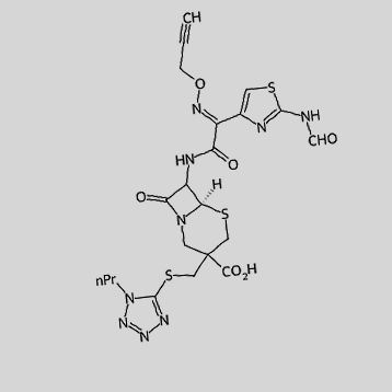 C#CCON=C(C(=O)NC1C(=O)N2CC(CSc3nnnn3CCC)(C(=O)O)CS[C@H]12)c1csc(NC=O)n1